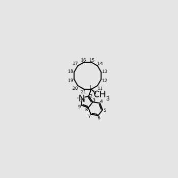 CC1(C2=c3ccccc3=C[N]2)CCCCCCCCCCC1